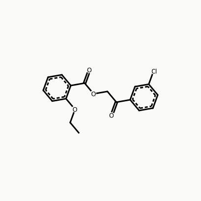 CCOc1ccccc1C(=O)OCC(=O)c1cccc(Cl)c1